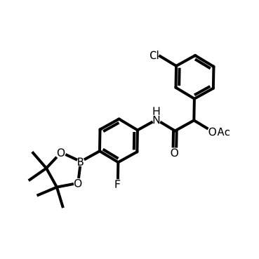 CC(=O)OC(C(=O)Nc1ccc(B2OC(C)(C)C(C)(C)O2)c(F)c1)c1cccc(Cl)c1